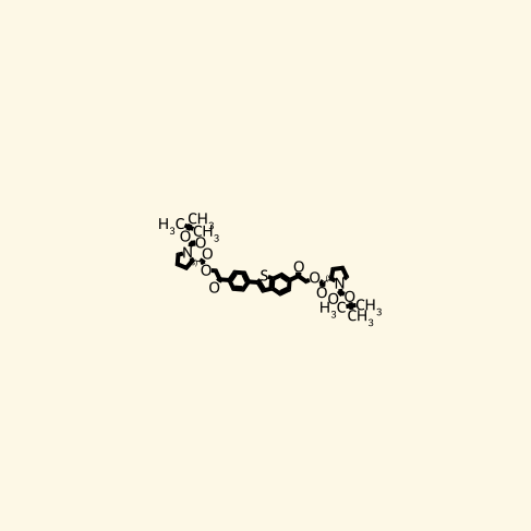 CC(C)(C)OC(=O)N1CCC[C@H]1C(=O)OCC(=O)c1ccc(-c2cc3ccc(C(=O)COC(=O)[C@@H]4CCCN4C(=O)OC(C)(C)C)cc3s2)cc1